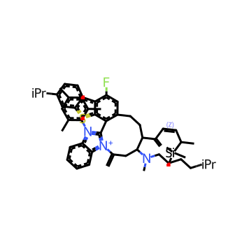 C=C(/C=C\C(C)[Si](C)(C)C)C1CCc2cc(F)c3c(sc4cc(C(C)C)ccc43)c2-c2n(-c3c(C)cc(C)cc3C)c3ccccc3[n+]2C(=C)CC1N(C)CCCCC(C)C